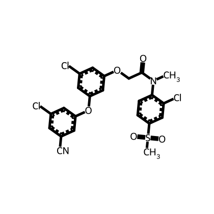 CN(C(=O)COc1cc(Cl)cc(Oc2cc(Cl)cc(C#N)c2)c1)c1ccc(S(C)(=O)=O)cc1Cl